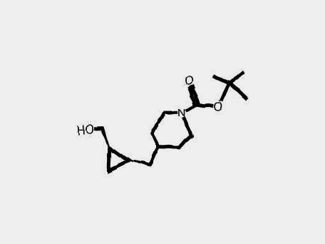 CC(C)(C)OC(=O)N1CCC(C[C@H]2C[C@H]2CO)CC1